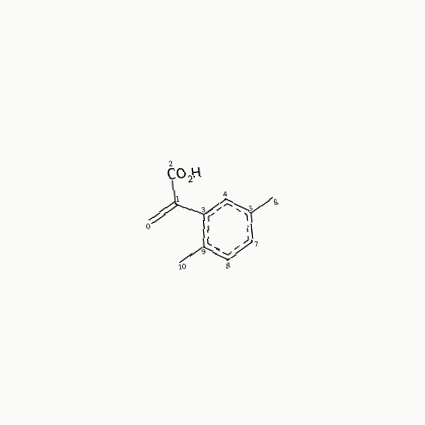 C=C(C(=O)O)c1cc(C)ccc1C